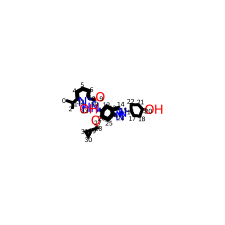 CC(C)c1cccc(C(=O)Nc2cc3cn([C@H]4CC[C@H](O)CC4)nc3cc2OCC2CC2)[n+]1O